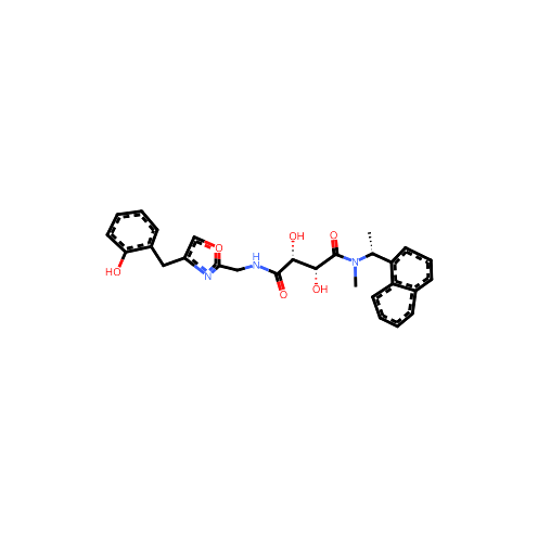 C[C@H](c1cccc2ccccc12)N(C)C(=O)[C@H](O)[C@@H](O)C(=O)NCc1nc(Cc2ccccc2O)co1